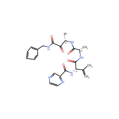 C=C(C)[C@H](NC(=O)c1cnccn1)C(=O)N[C@@H](C)C(=O)N[C@H](C(=O)C(=O)NCc1ccccc1)C(C)C